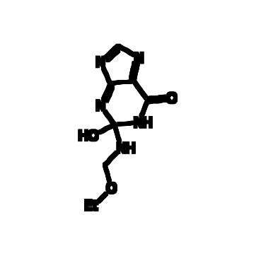 CCOCNC1(O)N=C2N=CN=C2C(=O)N1